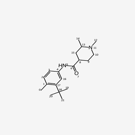 Cc1ccc(NC(=O)C2CCN(C)C(C)C2)cc1C(C)(C)C